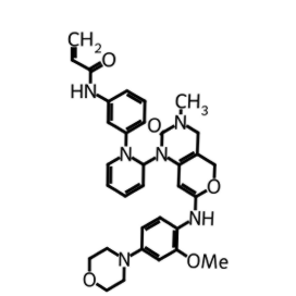 C=CC(=O)Nc1cccc(N2C=CC=CC2N2C(=O)N(C)CC3=C2C=C(Nc2ccc(N4CCOCC4)cc2OC)OC3)c1